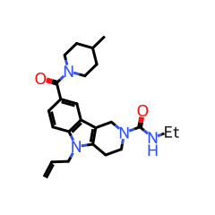 C=CCn1c2c(c3cc(C(=O)N4CCC(C)CC4)ccc31)CN(C(=O)NCC)CC2